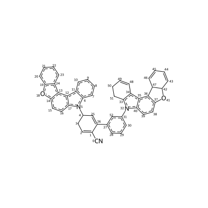 N#CC1=CCC(n2c3ccccc3c3c4c(ccc32)oc2ccccc24)C=C1c1cccc(-n2c3c(c4c5c(ccc42)OC2C=CC=CC52)C=CCC3)c1